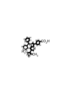 Cc1noc(C)c1-c1cnc2c(-c3ccc(C(=O)O)cc3)cn(C(c3ccccn3)C3CCOCC3)c2c1